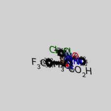 CN(Cc1c(C(=O)NN2CCCCC2)nn(-c2ccc(Cl)cc2Cl)c1-c1ccc(C#Cc2ccc(C(F)(F)F)cc2)s1)C(=O)O